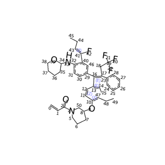 C=CC(=O)N1CCCC(OC(/C=C\C(=C/C)C(=C(\CC(F)(F)F)c2ccccc2)\c2ccc(NC3CCCCO3)c(/C(F)=C/CC)c2)=C\CC)C1